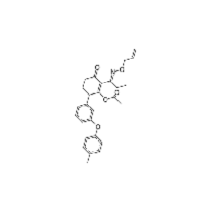 C=CCON=C(CC)C1=C(OC(C)=O)C(c2cccc(Oc3ccc(C)cc3)c2)CCC1=O